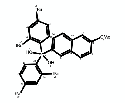 COc1ccc2cc(P(O)(O)(c3ccc(C(C)(C)C)cc3C(C)(C)C)c3ccc(C(C)(C)C)cc3C(C)(C)C)ccc2c1